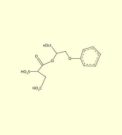 CCCCCCCCC(COc1ccccc1)OC(=O)C(CC(=O)O)S(=O)(=O)O